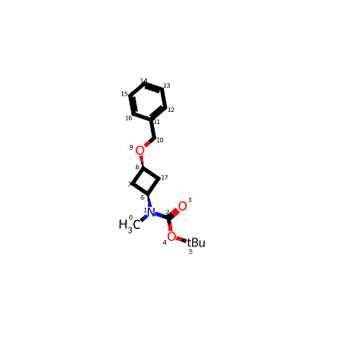 CN(C(=O)OC(C)(C)C)[C@H]1C[C@@H](OCc2ccccc2)C1